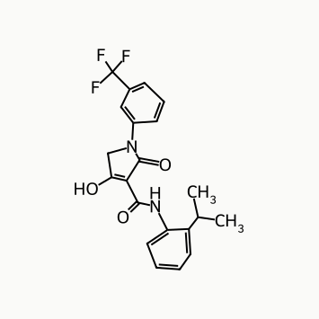 CC(C)c1ccccc1NC(=O)C1=C(O)CN(c2cccc(C(F)(F)F)c2)C1=O